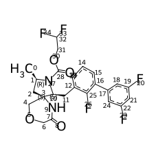 C[C@@H]1C[C@@]2(COCC(=O)N2)[C@H](Cc2cccc(-c3cc(F)cc(F)c3)c2F)N1C(=O)OCC(F)F